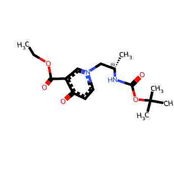 CCOC(=O)c1cn(C[C@H](C)NC(=O)OC(C)(C)C)ccc1=O